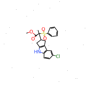 COC(=O)C(C)(C1Cc2[nH]c3ccc(Cl)cc3c2C1)S(=O)(=O)c1ccccc1